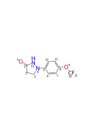 O=C1CCN(c2ccc(OC(F)(F)F)cc2)N1